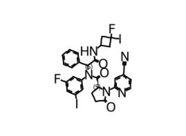 N#Cc1ccnc(N2C(=O)CC[C@H]2C(=O)N(c2cc(F)cc(I)c2)[C@H](C(=O)NC2CC(F)(I)C2)c2ccccc2)c1